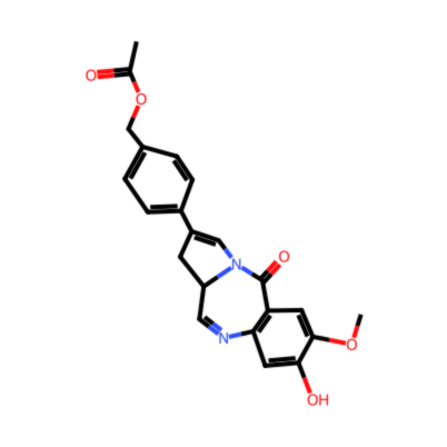 COc1cc2c(cc1O)N=CC1CC(c3ccc(COC(C)=O)cc3)=CN1C2=O